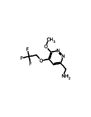 COc1nnc(CN)cc1OCC(F)(F)F